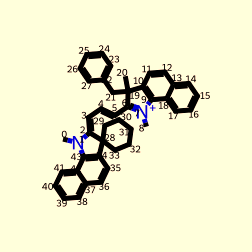 CN1/C(=C/C=C/C2=[N+](C)c3c(ccc4ccccc34)C2(C)Cc2ccccc2)C2(CCCCC2)c2ccc3ccccc3c21